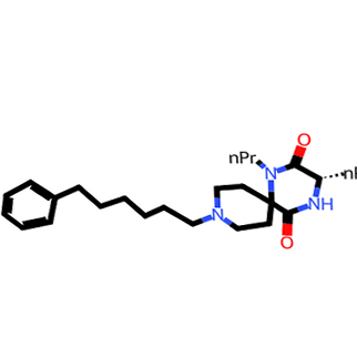 CCC[C@@H]1NC(=O)C2(CCN(CCCCCCc3ccccc3)CC2)N(CCC)C1=O